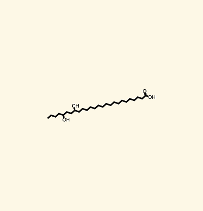 CCCCC(O)CCC(O)CCCCCCCCCCCCCCCCCC(=O)O